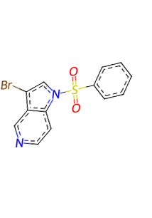 O=S(=O)(c1ccccc1)n1cc(Br)c2cnccc21